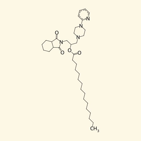 CCCCCCCCCCCCCCCC(=O)OC(CN1CCN(c2ccccn2)CC1)CN1C(=O)C2CCCCC2C1=O